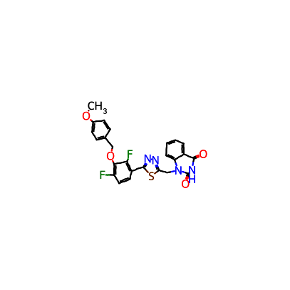 COc1ccc(COc2c(F)ccc(-c3nnc(Cn4c(=O)[nH]c(=O)c5ccccc54)s3)c2F)cc1